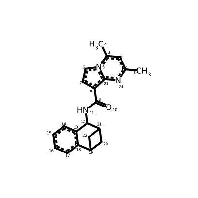 Cc1cc(C)n2ccc(C(=O)NC3c4ccccc4C4CC3C4)c2n1